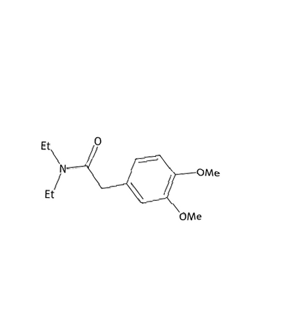 CCN(CC)C(=O)Cc1ccc(OC)c(OC)c1